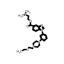 CCOCCN1CCN(c2cccc(-n3cnc4cc(C(=O)OCCN(C)C)ccc43)c2)CC1